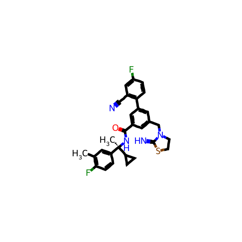 Cc1cc([C@@](C)(NC(=O)c2cc(CN3CCSC3=N)cc(-c3ccc(F)cc3C#N)c2)C2CC2)ccc1F